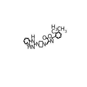 Cc1cccc(C2=NC(=CN3CCN(C(=N)Nc4ccccn4)CC3)C(=O)O2)c1C